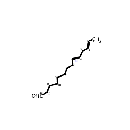 CC=CC/C=C/CCCCCCCC=O